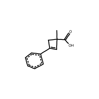 CC1(C(=O)O)C=C(c2ccccc2)C1